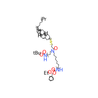 CCOC(OC(=O)NC(C)(C)CCCCCCCN(CCC(C)(C)NC(=O)OC(C)(C)C)C(=O)CCSS[C@H]1CC[C@@]2(C)C(=CC[C@H]3[C@@H]4CC[C@H]([C@H](C)CCCC(C)C)[C@@]4(C)CC[C@@H]32)C1)c1ccccc1